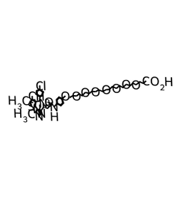 Cc1sc2c(c1C)C(c1ccc(Cl)cc1)=N[C@@H](CC(=O)Nc1ccc(OCCOCCOCCOCCOCCOCCOCCOCCC(=O)O)cc1)c1nnc(C)n1-2